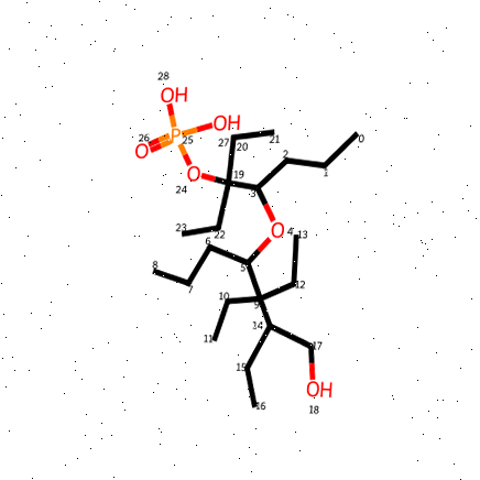 CCCC(OC(CCC)C(CC)(CC)C(CC)CO)C(CC)(CC)OP(=O)(O)O